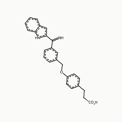 N=C(c1cccc(COc2ccc(CCC(=O)O)cc2)c1)c1cc2ccccc2[nH]1